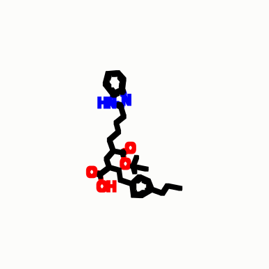 CCCc1ccc(CCC(CC(CCCCc2nc3ccccc3[nH]2)C(=O)OC(C)(C)C)C(=O)O)cc1